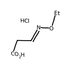 CCON=CCC(=O)O.Cl